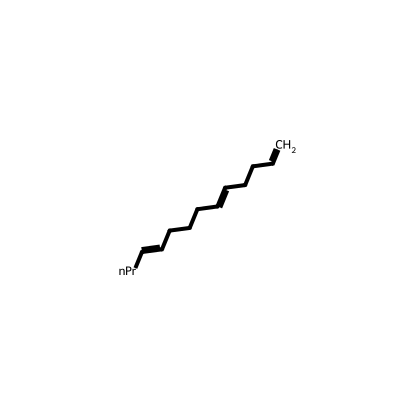 C=CCCC=CCCCC=CCCC